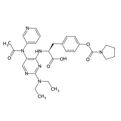 CCN(CC)c1ncc(N(C(C)=O)c2cccnc2)c(N[C@@H](Cc2ccc(OC(=O)N3CCCC3)cc2)C(=O)O)n1